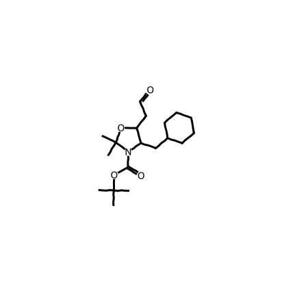 CC(C)(C)OC(=O)N1C(CC2CCCCC2)C(CC=O)OC1(C)C